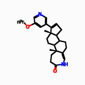 CCCOc1cncc(C2=CCC3C4CCC5=CNC(=O)CC[C@]5(C)C4CC[C@]23C)c1